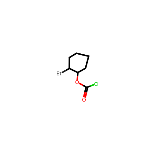 CCC1CCCCC1OC(=O)Cl